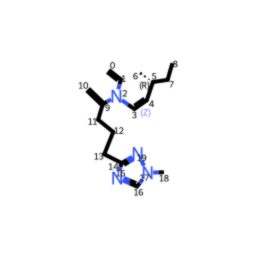 C=CN(/C=C\[C@H](C)CC)C(=C)CCCc1ncn(C)n1